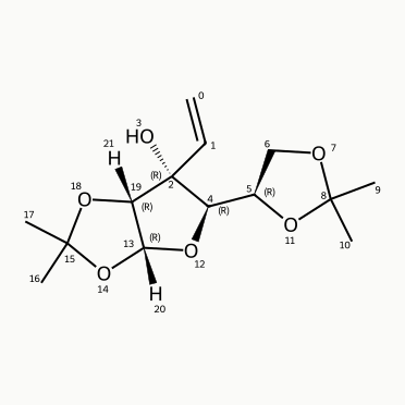 C=C[C@@]1(O)[C@@H]([C@H]2COC(C)(C)O2)O[C@@H]2OC(C)(C)O[C@@H]21